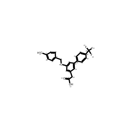 Cc1ccc(COc2cc(CC(=O)O)cc(-c3ccc(C(F)(F)F)cc3)c2)cc1